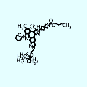 CCCCOC(=O)N1CC2(CC(n3nc(-c4ccc5nn(CCO[Si](C)(C)C(C)(C)C)cc5c4)c(-c4c(Cl)c(C)cc5c4cnn5C4CCCCO4)c3C)C2)C1